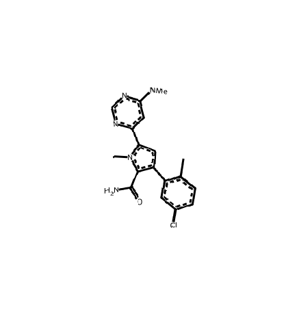 CNc1cc(-c2cc(-c3cc(Cl)ccc3C)c(C(N)=O)n2C)ncn1